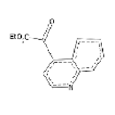 CCOC(=O)C(=O)c1ccnc2ccccc12